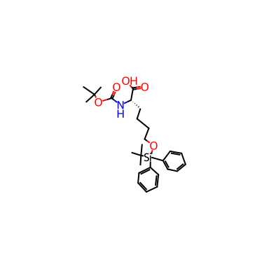 CC(C)(C)OC(=O)N[C@@H](CCCCO[Si](c1ccccc1)(c1ccccc1)C(C)(C)C)C(=O)O